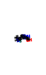 Cc1nc2c(F)cc(-c3ccn4nc(NC5CC(C)(O)C5)ncc34)cc2n1C(C)C